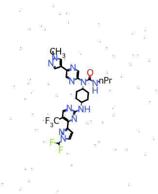 CCCNC(=O)N(c1cnc(-c2cnn(C)c2)cn1)[C@H]1CC[C@H](Nc2ncc(C(F)(F)F)c(-c3ccn(C(F)F)n3)n2)CC1